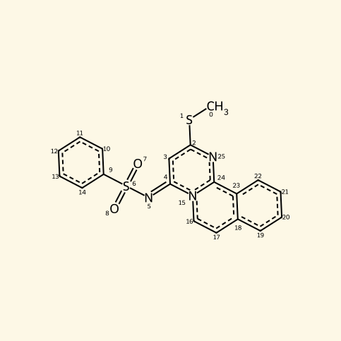 CSc1cc(=NS(=O)(=O)c2ccccc2)n2ccc3ccccc3c2n1